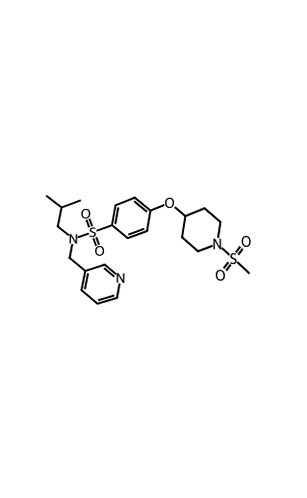 CC(C)CN(Cc1cccnc1)S(=O)(=O)c1ccc(OC2CCN(S(C)(=O)=O)CC2)cc1